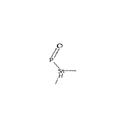 [CH3][SnH]([CH3])[P]=O